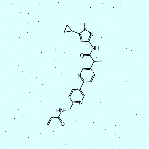 C=CC(=O)NCc1ccc(-c2ccc(C(C)C(=O)Nc3cc(C4CC4)[nH]n3)cn2)cn1